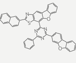 c1ccc(-c2nc(-c3ccc4c(c3)oc3ccccc34)nc(-c3c4oc5ccccc5c4cc4nc(-c5ccc6ccccc6c5)sc34)n2)cc1